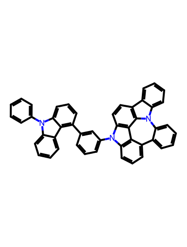 c1ccc(-n2c3ccccc3c3c(-c4cccc(-n5c6cccc7c8ccccc8n8c9ccccc9c9ccc5c(c76)c98)c4)cccc32)cc1